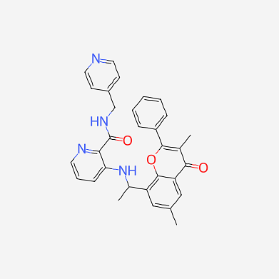 Cc1cc(C(C)Nc2cccnc2C(=O)NCc2ccncc2)c2oc(-c3ccccc3)c(C)c(=O)c2c1